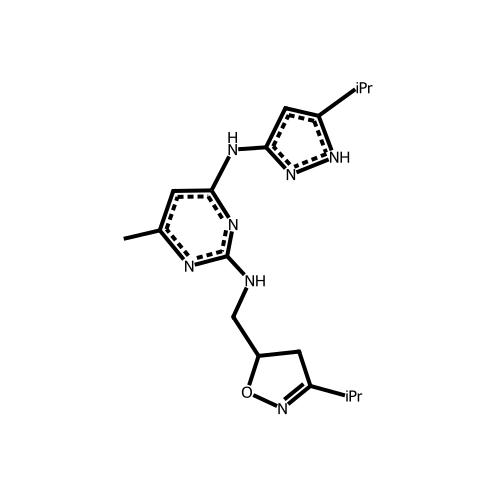 Cc1cc(Nc2cc(C(C)C)[nH]n2)nc(NCC2CC(C(C)C)=NO2)n1